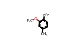 CCCc1ccc(C)cc1OC(F)(F)F